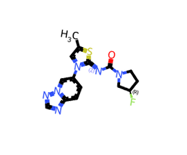 Cc1cn(-c2ccc3ncnn3c2)/c(=N/C(=O)N2CC[C@@H](F)C2)s1